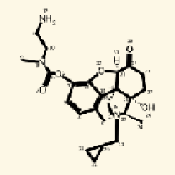 Cc1ccc(OC(=O)N(C)CCN)c2c1[C@]13CCN(CC4CC4)[C@H](C)[C@]1(O)CCC(=O)[C@@H]3O2